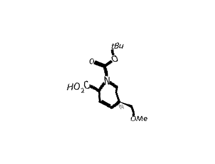 COC[C@H]1C=CC(C(=O)O)N(C(=O)OC(C)(C)C)C1